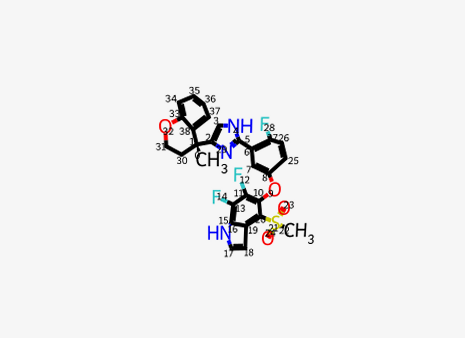 C[C@@]1(c2c[nH]c(-c3cc(Oc4c(F)c(F)c5[nH]ccc5c4S(C)(=O)=O)ccc3F)n2)CCOc2ccccc21